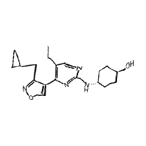 O[C@H]1CC[C@H](Nc2ncc(CI)c(-c3conc3CC3CC3)n2)CC1